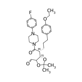 CCOc1ccc(CCC[C@@H](C(=O)N2CCN(c3ccc(F)cc3)CC2)[C@@H]2OC(C)(C)OC2C=O)cc1